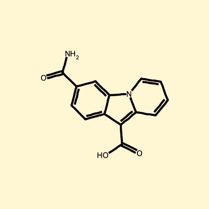 NC(=O)c1ccc2c(C(=O)O)c3ccccn3c2c1